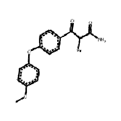 COc1ccc(Oc2ccc(C(=O)C(Br)C(N)=O)cc2)cc1